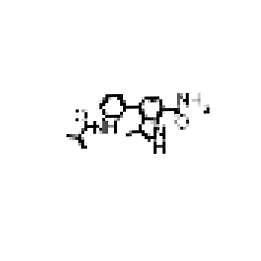 C=C(C)C(=O)Nc1cccc(-c2ccc(C(N)=O)c3[nH]cc(C)c23)c1